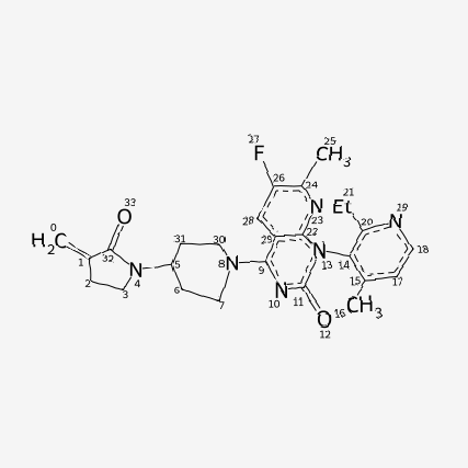 C=C1CCN(C2CCN(c3nc(=O)n(-c4c(C)ccnc4CC)c4nc(C)c(F)cc34)CC2)C1=O